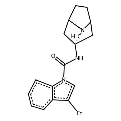 CCc1cn(C(=O)NC2CC3CCC(C2)N3C)c2ccccc12